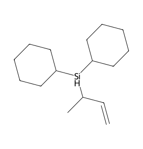 C=CC(C)[SiH](C1CCCCC1)C1CCCCC1